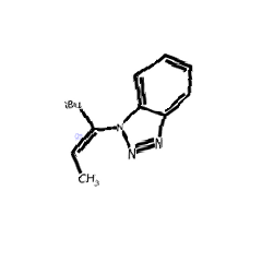 C/C=C(\n1nnc2ccccc21)C(C)(C)C